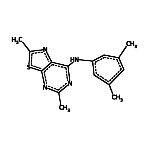 Cc1cc(C)cc(Nc2nc(C)nc3sc(C)nc23)c1